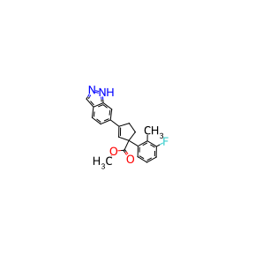 COC(=O)C1(c2cccc(F)c2C)C=C(c2ccc3cn[nH]c3c2)CC1